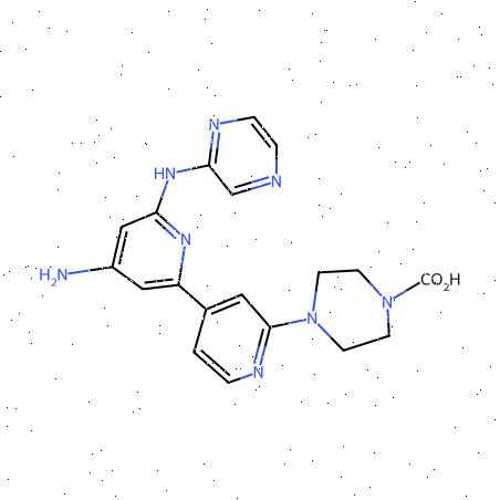 Nc1cc(Nc2cnccn2)nc(-c2ccnc(N3CCN(C(=O)O)CC3)c2)c1